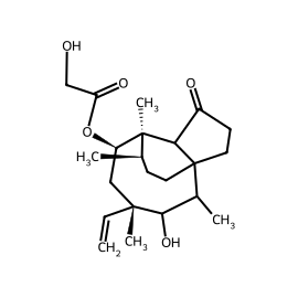 C=C[C@]1(C)C[C@@H](OC(=O)CO)[C@@]2(C)C3C(=O)CCC3(CC[C@H]2C)C(C)C1O